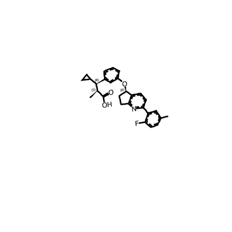 Cc1ccc(F)c(-c2ccc3c(n2)CC[C@H]3Oc2cccc([C@H](C3CC3)[C@H](C)C(=O)O)c2)c1